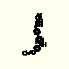 CC(C)(C)OC(=O)CNCc1ccc(-c2cnc(Nc3ccc(OCCCl)cc3)nc2)cc1